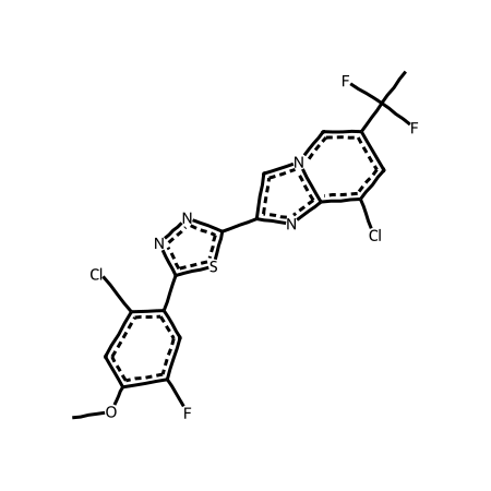 COc1cc(Cl)c(-c2nnc(-c3cn4cc(C(C)(F)F)cc(Cl)c4n3)s2)cc1F